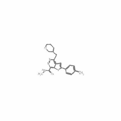 CNC(=O)c1nnc(CC2CCCOC2)c2cc(-c3ccc(C)cc3)sc12